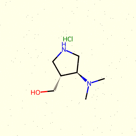 CN(C)[C@@H]1CNC[C@H]1CO.Cl